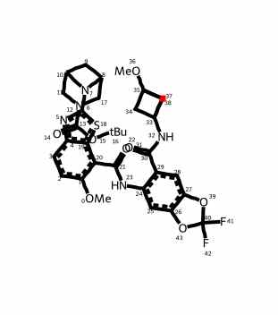 COc1ccc2nc(N3C4CC3CN(C(=O)OC(C)(C)C)C4)sc2c1C(=O)Nc1cc2c(cc1C(=O)NC13CC(OC)(C1)C3)OC(F)(F)O2